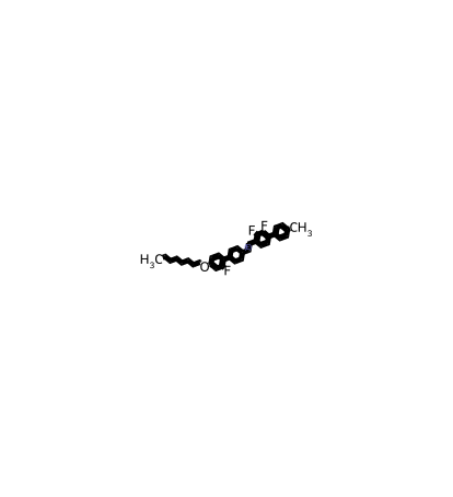 CCCCCCCCOc1ccc(C2CCC(/C=C/c3ccc(-c4ccc(C)cc4)c(F)c3F)CC2)c(F)c1